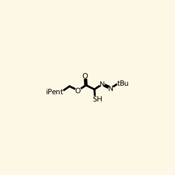 CCCC(C)COC(=O)C(S)N=NC(C)(C)C